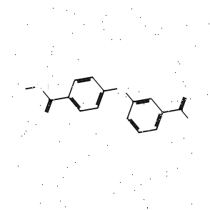 CNC(=O)c1ccc(Oc2cccc(C(=O)O)c2)cc1